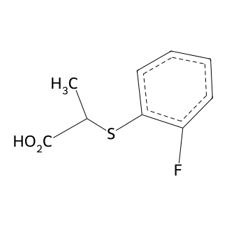 CC(Sc1ccccc1F)C(=O)O